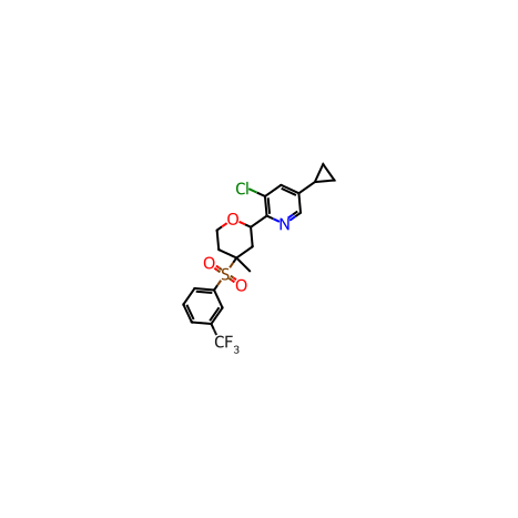 CC1(S(=O)(=O)c2cccc(C(F)(F)F)c2)CCOC(c2ncc(C3CC3)cc2Cl)C1